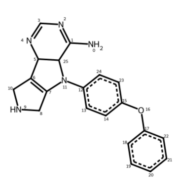 NC1=NC=NC2C3=C(CNC3)N(c3ccc(Oc4ccccc4)cc3)C12